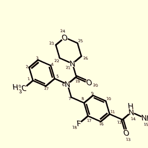 Cc1cccc(N(Cc2ccc(C(=O)NN)cc2F)C(=O)N2CCOCC2)c1